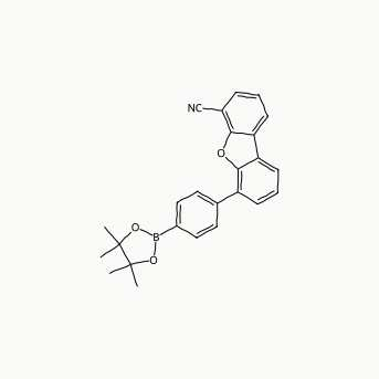 CC1(C)OB(c2ccc(-c3cccc4c3oc3c(C#N)cccc34)cc2)OC1(C)C